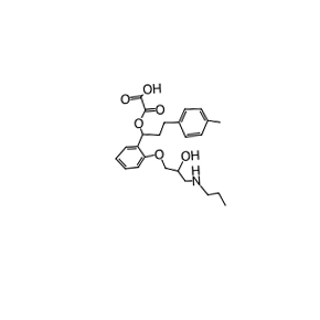 CCCNCC(O)COc1ccccc1C(CCc1ccc(C)cc1)OC(=O)C(=O)O